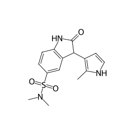 Cc1[nH]ccc1C1C(=O)Nc2ccc(S(=O)(=O)N(C)C)cc21